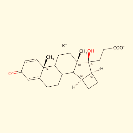 C[C@]12C=CC(=O)C=C1CCC1C2CC[C@@]2(C)C1[C@@H]1CC[C@@H]1[C@@]2(O)CCC(=O)[O-].[K+]